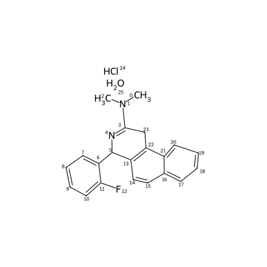 CN(C)C1=NC(c2ccccc2F)c2ccc3ccccc3c2C1.Cl.O